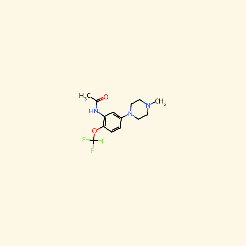 CC(=O)Nc1cc(N2CCN(C)CC2)ccc1OC(F)(F)F